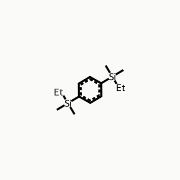 CC[Si](C)(C)c1ccc([Si](C)(C)CC)cc1